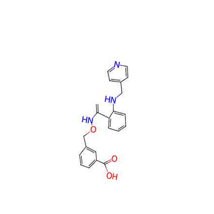 C=C(NOCc1cccc(C(=O)O)c1)c1ccccc1NCc1ccncc1